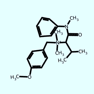 COc1ccc(C[N+](C)(C)C(C(=O)N(C)c2ccccc2)C(C)C)cc1